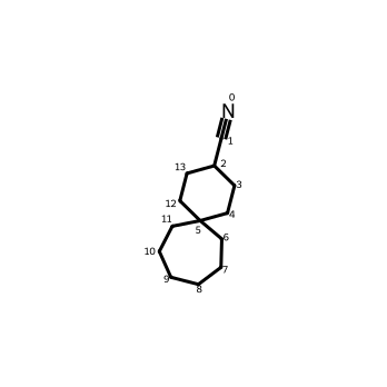 N#CC1CCC2(CCCCCC2)CC1